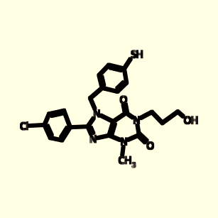 Cn1c(=O)n(CCCO)c(=O)c2c1nc(-c1ccc(Cl)cc1)n2Cc1ccc(S)cc1